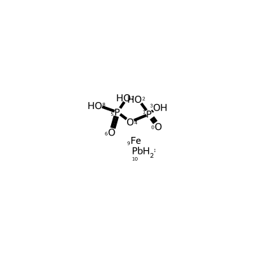 O=P(O)(O)OP(=O)(O)O.[Fe].[PbH2]